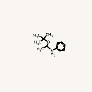 CC(OC(C)(C)C)[SiH2]c1ccccc1